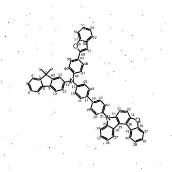 CC1(C)c2ccccc2-c2ccc(N(c3ccc(-c4ccc(-n5c6ccccc6c6c7c(ccc65)oc5ccccc57)cc4)cc3)c3ccc(-c4cc5ccccc5o4)cc3)cc21